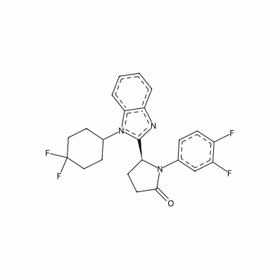 O=C1CC[C@@H](c2nc3ccccc3n2C2CCC(F)(F)CC2)N1c1ccc(F)c(F)c1